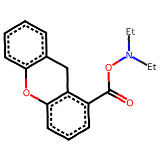 CCN(CC)OC(=O)c1cccc2c1Cc1ccccc1O2